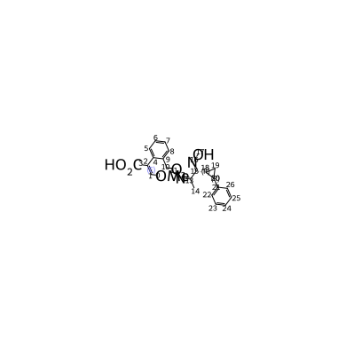 CO/C=C(/C(=O)O)c1ccccc1CON=C(C)C(=NO)[C@@H]1C[C@H]1c1ccccc1